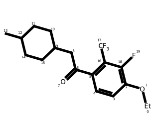 CCOc1ccc(C(=O)CC2CCC(C)CC2)c(C(F)(F)F)c1F